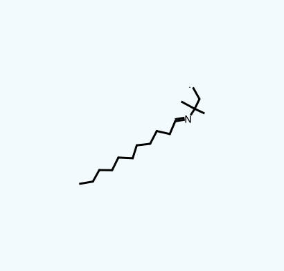 [CH2]CC(C)(C)N=CCCCCCCCCCC